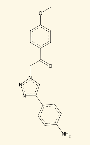 COc1ccc(C(=O)Cn2cc(-c3ccc(N)cc3)nn2)cc1